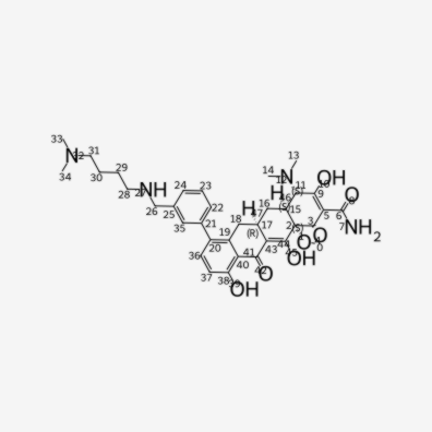 CO[C@@]12C(=O)C(C(N)=O)=C(O)[C@@H](N(C)C)[C@@H]1C[C@@H]1Cc3c(-c4cccc(CNCCCCN(C)C)c4)ccc(O)c3C(=O)C1=C2O